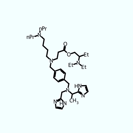 CCCN(CCC)CCCCN(CCC(=O)OCC(CC)N(CC)CC)Cc1ccc(CN(Cc2ncc[nH]2)C(C)c2ncc[nH]2)cc1